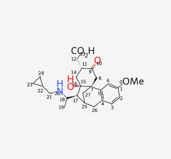 COc1ccc2c(c1)[C@@]13CC(=O)[C@@H](CC(=O)O)C[C@@]1(O)[C@H](C(C)NCC1CC1)C(C2)C3